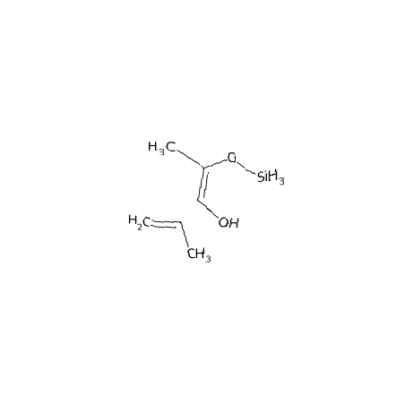 C=CC.CC(=CO)O[SiH3]